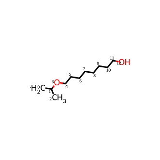 [CH2]C(C)OCCCCCCCCO